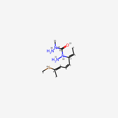 C/C=C(/C=C\C=C(/C)SC)N(N)C(=O)N(C)N